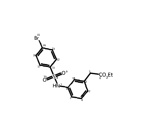 CCOC(=O)Cc1cccc(NS(=O)(=O)c2ccc(Br)cc2)c1